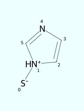 [S-][NH+]1C=CN=C1